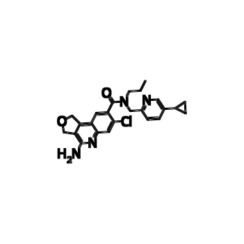 CCCN(Cc1ccc(C2CC2)cn1)C(=O)c1cc2c3c(c(N)nc2cc1Cl)COC3